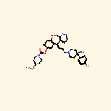 CCOC(=O)C1CCN(C(=O)Oc2ccc3c(c2)/C(=C/CCN2CCC(N=O)(c4ccc(Cl)cc4)CC2)C2=CC=CNC2CO3)CC1